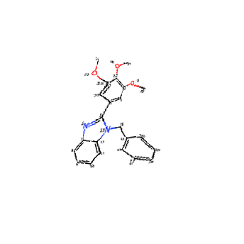 COc1cc(-c2nc3ccccc3n2Cc2ccccc2)cc(OC)c1OC